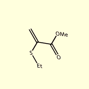 C=C(SCC)C(=O)OC